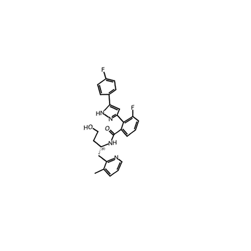 Cc1cccnc1C[C@H](CCO)NC(=O)c1cccc(F)c1-c1cc(-c2ccc(F)cc2)[nH]n1